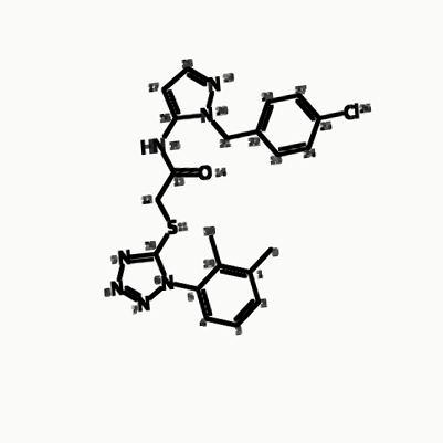 Cc1cccc(-n2nnnc2SCC(=O)Nc2ccnn2Cc2ccc(Cl)cc2)c1C